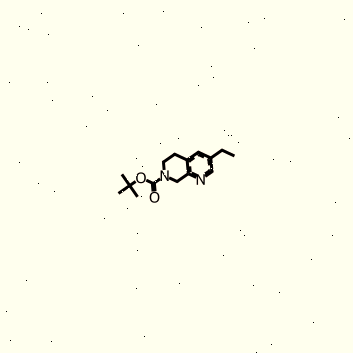 CCc1cnc2c(c1)CCN(C(=O)OC(C)(C)C)C2